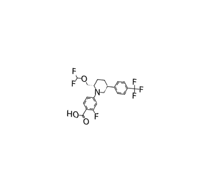 O=C(O)c1ccc(N2CC(c3ccc(C(F)(F)F)cc3)CC[C@H]2COC(F)F)cc1F